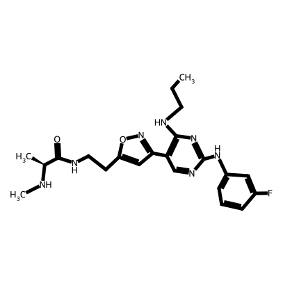 CCCNc1nc(Nc2cccc(F)c2)ncc1-c1cc(CCNC(=O)[C@H](C)NC)on1